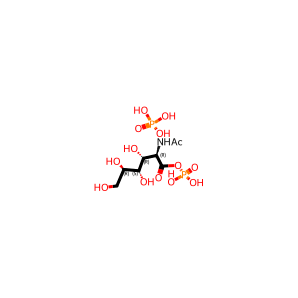 CC(=O)N[C@@H](C(=O)OP(=O)(O)O)[C@@H](O)[C@H](O)[C@H](O)CO.O=P(O)(O)O